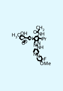 C=CC(=O)Nc1cc(N2CC(C3CC(C)(O)CCS3(=O)=O)C2)c2cnc(Nc3ccnc(N4CC[C@@H](OC)[C@@H](F)C4)c3)nc2c1C(C)C